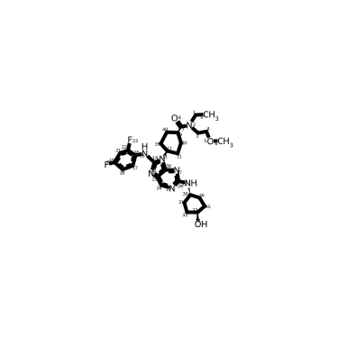 CCN(CCOC)C(=O)[C@H]1CC[C@@H](n2c(Nc3ccc(F)cc3F)nc3cnc(N[C@H]4CC[C@H](O)CC4)nc32)CC1